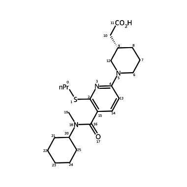 CCCSc1nc(N2CCC[C@@H](CC(=O)O)C2)ccc1C(=O)N(C)C1CCCCC1